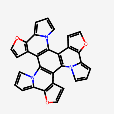 c1cc2c3occc3c3c(c4c5ccoc5c5cccn5c4c4c5ccoc5c5cccn5c34)n2c1